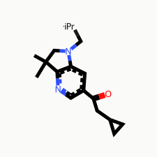 C[C](C)CN1CC(C)(C)c2ncc(C(=O)CC3CC3)cc21